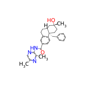 Cc1cnc(NC(=O)c2ccc3c(c2)CC[C@@H]2C[C@](C)(O)CC[C@@]32Cc2ccccc2)c(C)n1